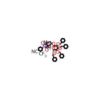 C[C@]12O[C@](C)(C[C@@H]1O[C@H]1O[C@H](COCc3ccccc3)[C@@H](OCc3ccccc3)[C@H](OCc3ccccc3)[C@H]1OCc1ccccc1)[C@H]1C(=O)N(c3ccc(C#N)c(C(F)(F)F)c3)C(=O)[C@H]12